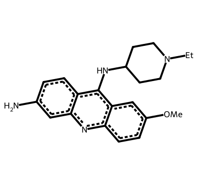 CCN1CCC(Nc2c3ccc(N)cc3nc3ccc(OC)cc23)CC1